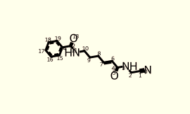 N#CCNC(=O)C=CCCCNC(=O)c1ccccc1